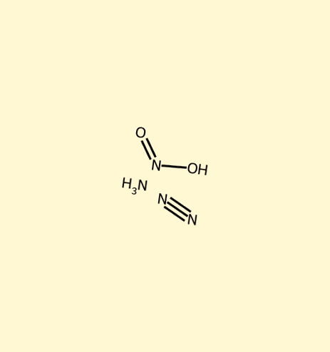 N.N#N.O=NO